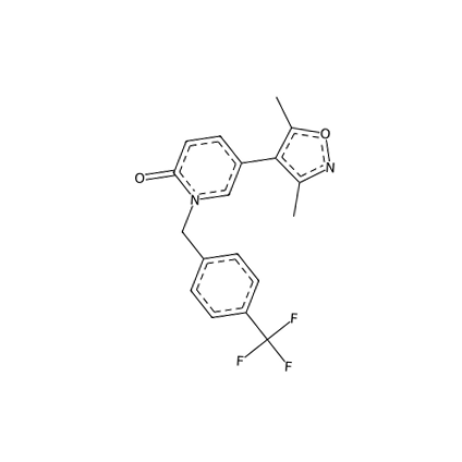 Cc1noc(C)c1-c1ccc(=O)n(Cc2ccc(C(F)(F)F)cc2)c1